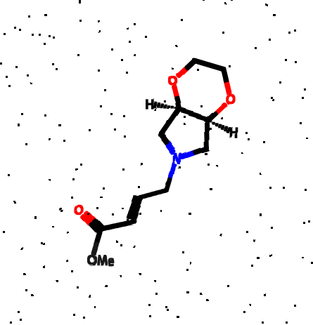 COC(=O)/C=C/CN1C[C@@H]2OCCO[C@@H]2C1